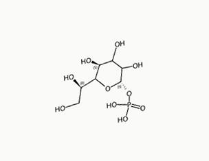 O=P(O)(O)O[C@@H]1OC([C@H](O)CO)[C@@H](O)C(O)C1O